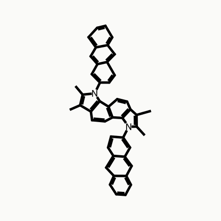 Cc1c(C)n(-c2ccc3cc4ccccc4cc3c2)c2c1ccc1c2ccc2c(C)c(C)n(-c3ccc4cc5ccccc5cc4c3)c21